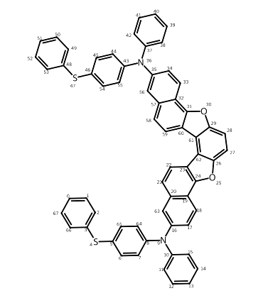 c1ccc(Sc2ccc(N(c3ccccc3)c3ccc4c(ccc5c4oc4ccc6oc7c8ccc(N(c9ccccc9)c9ccc(Sc%10ccccc%10)cc9)cc8ccc7c6c45)c3)cc2)cc1